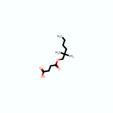 CCCCC(C)(C)COC(=O)CCC(=O)O